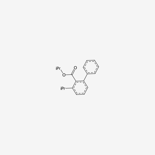 CC(C)OC(=O)c1c(-c2ccccc2)cccc1C(C)C